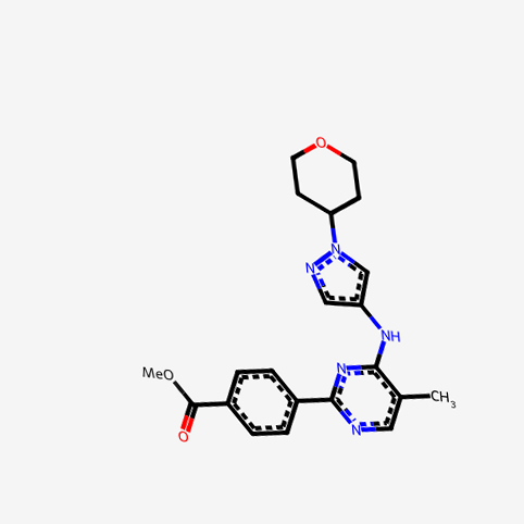 COC(=O)c1ccc(-c2ncc(C)c(Nc3cnn(C4CCOCC4)c3)n2)cc1